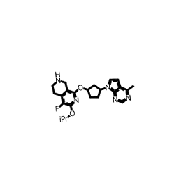 Cc1ncnc2c1ccn2C1CCC(Oc2nc(OC(C)C)c(F)c3c2CNCC3)C1